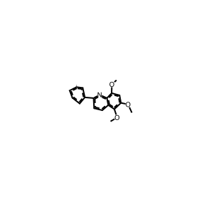 COc1cc(OC)c2nc(-c3c[c]ccc3)ccc2c1OC